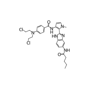 CCCCC(=O)Nc1ccc2[nH]c(-c3c(NC(=O)c4ccc(N(CCCl)CCCl)cc4)ccn3C)nc2c1